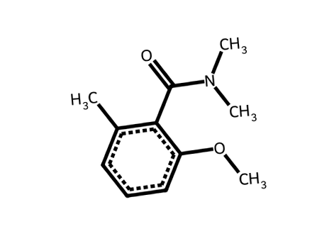 COc1cccc(C)c1C(=O)N(C)C